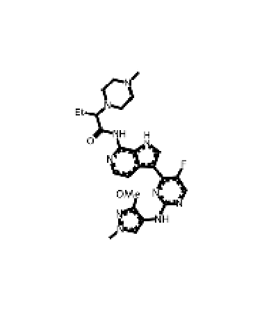 CCC(C(=O)Nc1nccc2c(-c3nc(Nc4cn(C)nc4OC)ncc3F)c[nH]c12)N1CCN(C)CC1